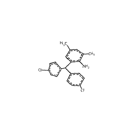 Cc1cc(C)c(N)c(C(c2ccc(Cl)cc2)c2ccc(Cl)cc2)c1